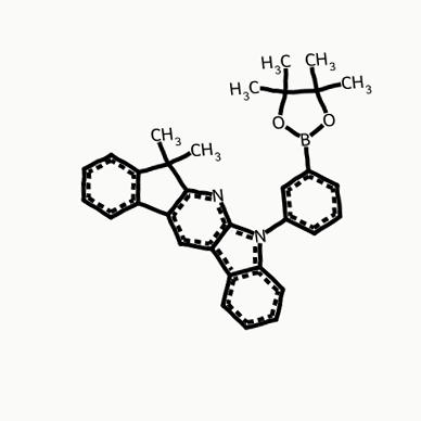 CC1(C)c2ccccc2-c2cc3c4ccccc4n(-c4cccc(B5OC(C)(C)C(C)(C)O5)c4)c3nc21